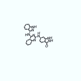 O=c1[nH][nH]c2cc(Nc3nc(Nc4n[nH]c5ccccc45)c4ccccc4n3)ccc12